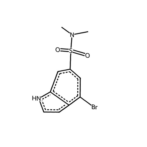 CN(C)S(=O)(=O)c1cc(Br)c2cc[nH]c2c1